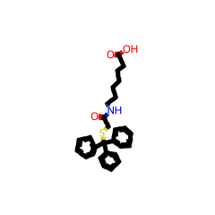 O=C(O)CCCCCCNC(=O)CSC(c1ccccc1)(c1ccccc1)c1ccccc1